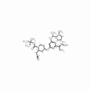 C[C@H](Oc1cc(OC2CCN(C(=O)OC(C)(C)C)C(CC#N)C2)nc(C(N)=NO)n1)[C@@H]1C[C@@H](F)CN1C